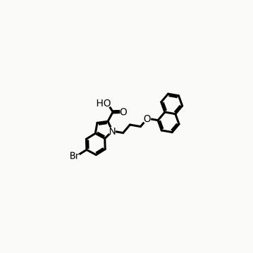 O=C(O)c1cc2cc(Br)ccc2n1CCCOc1cccc2ccccc12